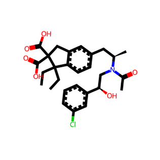 CCC1(CC)c2ccc(C[C@@H](C)N(C[C@@H](O)c3cccc(Cl)c3)C(C)=O)cc2CC1(C(=O)O)C(=O)O